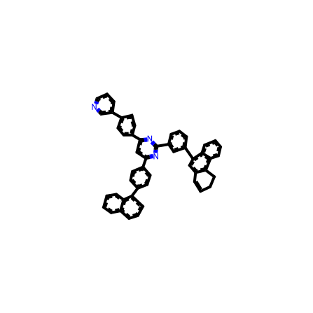 C1=Cc2cc(-c3cccc(-c4nc(-c5ccc(-c6cccnc6)cc5)cc(-c5ccc(-c6cccc7ccccc67)cc5)n4)c3)c3ccccc3c2CC1